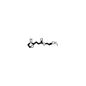 C=CCOC(=O)CCC1NCCO1